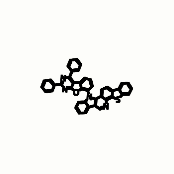 c1ccc(-c2nc(-c3ccccc3)c3c(n2)oc2c(-n4c5ccccc5c5cnc6c(ccc7c8ccccc8sc76)c54)cccc23)cc1